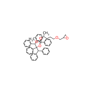 CO[Si](OC(C)CCCOCC1CO1)(OC(c1ccccc1)(C(c1ccccc1)c1ccccc1)C(c1ccccc1)c1ccccc1)c1ccccc1